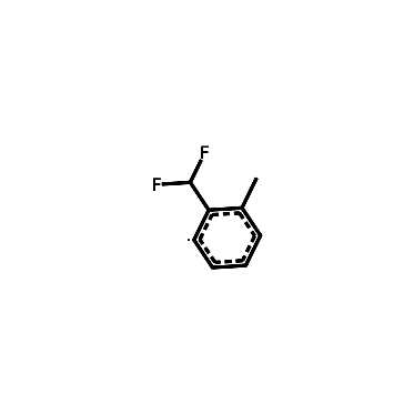 Cc1ccc[c]c1C(F)F